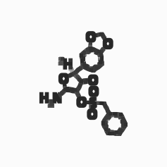 [2H][C@@]1(c2ccc3c(c2)OCO3)OC(N)=C(OS(=O)(=O)Cc2ccccc2)C1=O